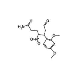 COc1ccc(C(CC=O)C(CCC(N)=O)[N+](=O)[O-])c(OC)c1